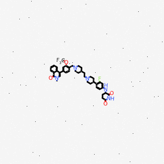 Cn1cc(-c2ccc(CN3CCC(CCN4CCC(c5ccc(NC6CCC(=O)NC6=O)cc5F)CC4)CC3)c(OC(F)(F)F)c2)c2ccccc2c1=O